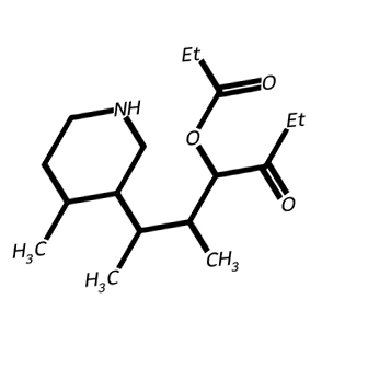 CCC(=O)OC(C(=O)CC)C(C)C(C)C1CNCCC1C